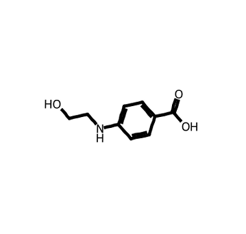 O=C(O)c1ccc(NCCO)cc1